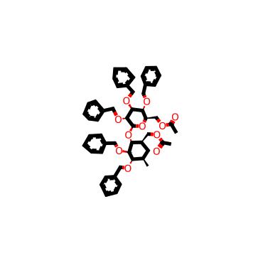 CC(=O)OC[C@H]1C[C@@H](C)[C@H](OCc2ccccc2)[C@@H](OCc2ccccc2)[C@@H]1O[C@@H]1O[C@H](COC(C)=O)[C@@H](OCc2ccccc2)[C@H](OCc2ccccc2)[C@H]1OCc1ccccc1